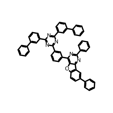 c1ccc(-c2cccc(-c3nc(-c4cccc(-c5ccccc5)c4)nc(-c4cccc(-c5nc(-c6ccccc6)nc6c5oc5ccc(-c7ccccc7)cc56)c4)n3)c2)cc1